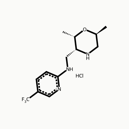 C[C@@H]1O[C@@H](C)CN[C@@H]1CNc1ccc(C(F)(F)F)cn1.Cl